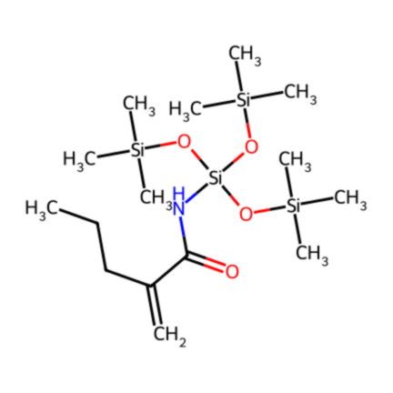 C=C(CCC)C(=O)N[Si](O[Si](C)(C)C)(O[Si](C)(C)C)O[Si](C)(C)C